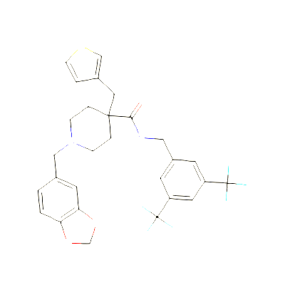 O=C(NCc1cc(C(F)(F)F)cc(C(F)(F)F)c1)C1(Cc2ccsc2)CCN(Cc2ccc3c(c2)OCO3)CC1